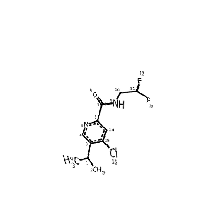 CC(C)c1cnc(C(=O)NCC(F)F)cc1Cl